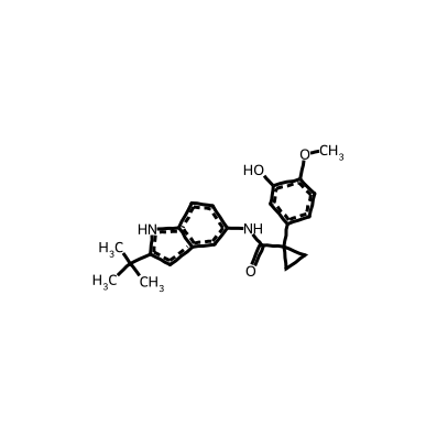 COc1ccc(C2(C(=O)Nc3ccc4[nH]c(C(C)(C)C)cc4c3)CC2)cc1O